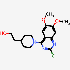 COc1cc2nc(Cl)nc(N3CCC(CCO)CC3)c2cc1OC